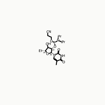 CC[C@H]1O[C@@H](n2cc(C)c(=O)[nH]c2=O)[C@@H](OP(OCCC#N)N(C(C)C)C(C)C)C1O